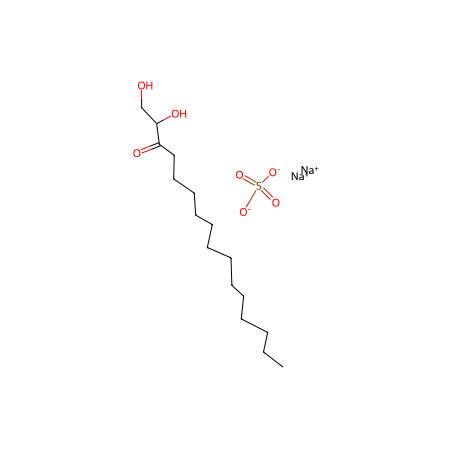 CCCCCCCCCCCCCC(=O)C(O)CO.O=S(=O)([O-])[O-].[Na+].[Na+]